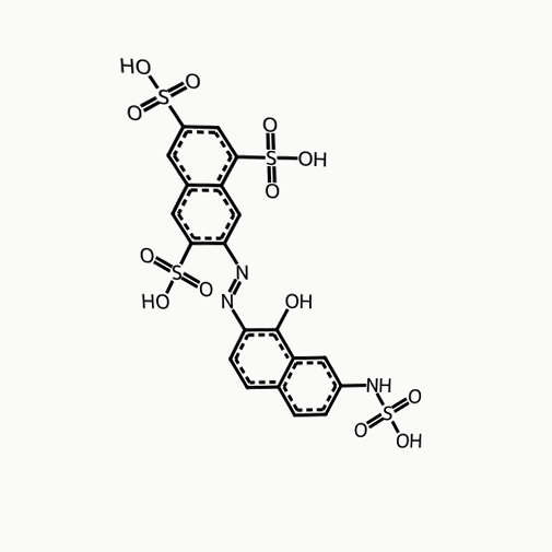 O=S(=O)(O)Nc1ccc2ccc(N=Nc3cc4c(S(=O)(=O)O)cc(S(=O)(=O)O)cc4cc3S(=O)(=O)O)c(O)c2c1